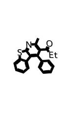 CCC(=O)c1c(C)nc2sc3ccccc3c2c1-c1ccccc1